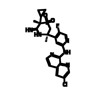 C[C@@]1(c2cc(Nc3nccc4cc(Cl)cnc34)ncc2F)CS(=O)(=O)[C@@](C)(C2CC2)C(=N)N1